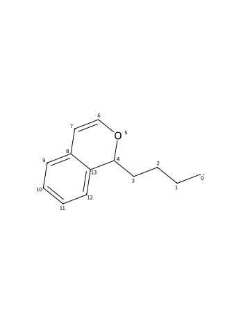 [CH2]CCCC1OC=Cc2ccccc21